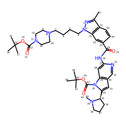 Cc1nn(CCCCN2CCN(C(=O)OC(C)(C)C)CC2)c2cc(C(=O)Nc3cc4c(cn3)cc([C@H]3CCCN3C)n4C(=O)OC(C)(C)C)ccc12